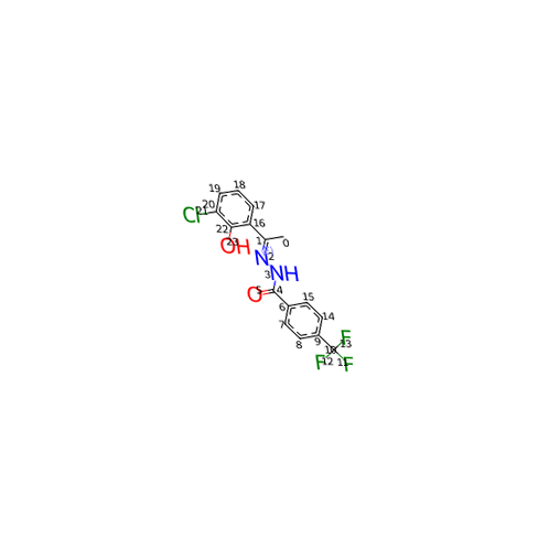 C/C(=N\NC(=O)c1ccc(C(F)(F)F)cc1)c1cccc(Cl)c1O